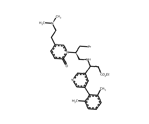 CCOC(=O)CC(NC[C@H](CC(C)C)n1cc(CCN(C)C)ccc1=O)c1cncc(-c2c(C)cccc2C)c1